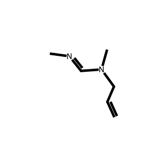 C=CCN(C)C=NC